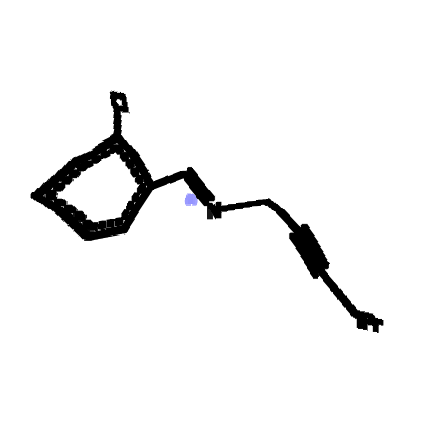 CC(C)C#CC/N=C/c1ccccc1Cl